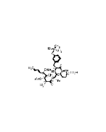 C=CC=C[C@H](OC)[C@H](C)[C@@H](OC)[C@@H](C)C(=O)N[C@H](C(=O)N[C@@H](Cc1cccc(O[Si](C)(C)C(C)(C)C)c1)C(=O)N1CCC[C@@H](C(=O)O)N1)C(C)C